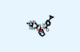 Cn1cc(Nc2nc(N3C4CCC(NC(=O)c5ccc(C6CC6)cc5)C3CC4)cnc2C#N)cn1